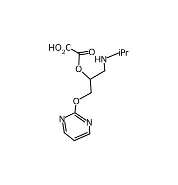 CC(C)NCC(COc1ncccn1)OC(=O)C(=O)O